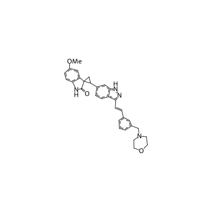 COc1ccc2c(c1)C1(CC1c1ccc3c(/C=C/c4cccc(CN5CCOCC5)c4)n[nH]c3c1)C(=O)N2